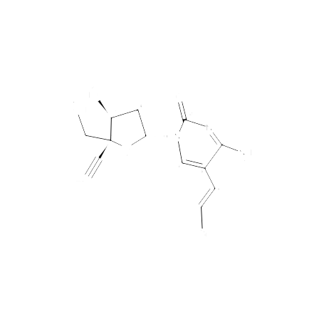 C#C[C@]1(CO)O[C@@H](n2cc(C=CBr)c(N)nc2=O)C[C@@H]1O